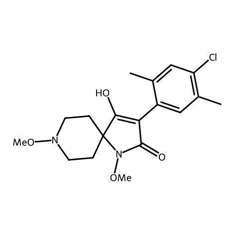 CON1CCC2(CC1)C(O)=C(c1cc(C)c(Cl)cc1C)C(=O)N2OC